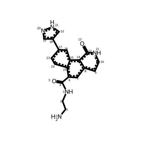 NCCNC(=O)c1cc2cc[nH]c(=O)c2c2cc(-c3cn[nH]c3)ccc12